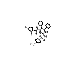 Cc1ccc(S(=O)(=O)NC(=O)NC(c2ccccc2)C(NC(=O)Nc2ccc(F)cc2F)c2ccccc2)cc1